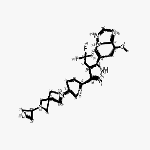 COc1cc(-c2[nH]nc(-c3ccc(N4CC5(C4)CN(C4COC4)C5)cn3)c2CC(F)(F)F)cn2ncnc12